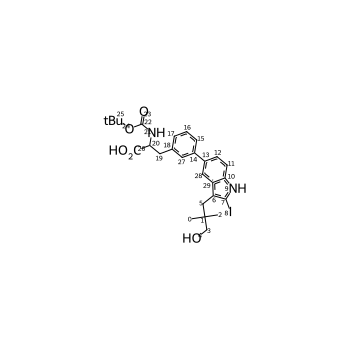 CC(C)(CO)Cc1c(I)[nH]c2ccc(-c3cccc(CC(NC(=O)OC(C)(C)C)C(=O)O)c3)cc12